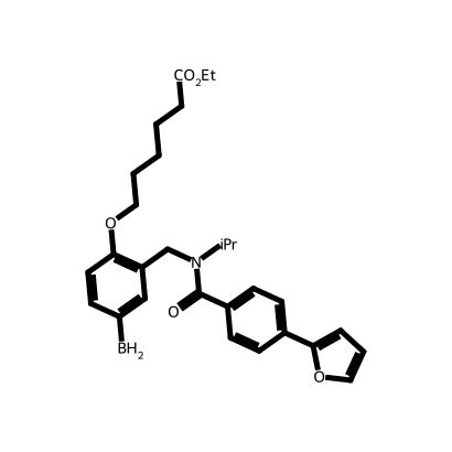 Bc1ccc(OCCCCCC(=O)OCC)c(CN(C(=O)c2ccc(-c3ccco3)cc2)C(C)C)c1